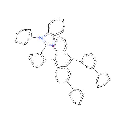 c1ccc(-c2cccc(-c3c4ccccc4c(-c4ccccc4-c4nc5ccccc5n4-c4ccccc4)c4ccc(-c5ccccc5)cc34)c2)cc1